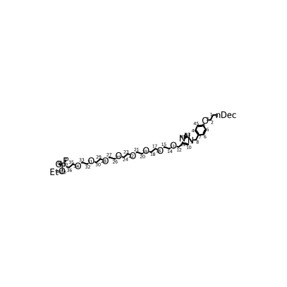 CCCCCCCCCCCCOc1ccc(Cn2cc(COCCOCCOCCOCCOCCOCCOCCOCCP(=O)(F)OCC)nn2)cc1